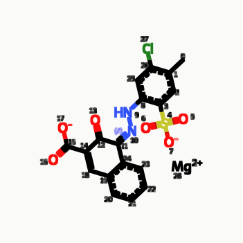 Cc1cc(S(=O)(=O)[O-])c(N/N=C2\C(=O)C(C(=O)[O-])=Cc3ccccc32)cc1Cl.[Mg+2]